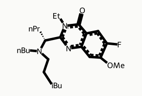 CCCCN(CCC(C)CC)[C@H](CCC)c1nc2cc(OC)c(F)cc2c(=O)n1CC